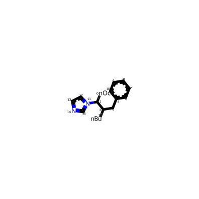 CCCCCCCCC(C(CCCC)Cc1ccccc1)n1ccnc1